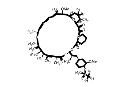 [2H]C1([2H])C[C@H]2C[C@H](OC)/C(C)=C/C=C/C=C/[C@@H](C)C[C@@H](C)C(=C)[C@H](OC)[C@H](O)/C(C)=C/[C@@H](C)C(=O)C[C@@H]([C@H](C)C[C@@H]3CC[C@@H](OP(C)(=O)C([2H])([2H])[2H])[C@H](OC)C3)OC(=O)[C@@H]3CCCCN3C(=O)C(=O)[C@](O)(O2)[C@@H]1C